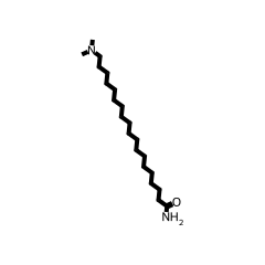 CN(C)CCCCCCCCCCCCCCCCCCC(N)=O